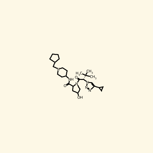 CC(C)(C)[C@@H](C(=O)N1CC(O)CC1C(=O)NC1CCN(CC2CCCC2)CC1)n1cc(C2CC2)nn1